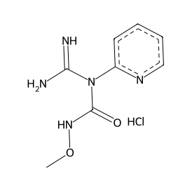 CONC(=O)N(C(=N)N)c1ccccn1.Cl